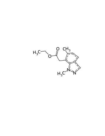 CCOC(=O)Cc1c(C)ccc2cnn(C)c12